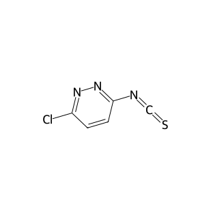 S=C=Nc1ccc(Cl)nn1